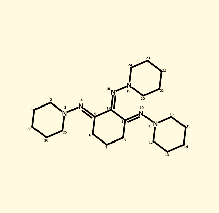 C1CCN(N=C2CCCC(=NN3CCCCC3)C2=NN2CCCCC2)CC1